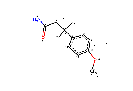 CC(C)(CC(N)=O)c1ccc(OC(F)(F)F)cc1